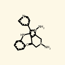 NN1CC(=O)c2c(Nc3ccccc3)c(-c3ccncc3)n(N)c2C1